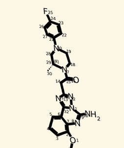 COc1cccc2c1nc(N)n1nc(CC(=O)N3CCN(c4ccc(F)cc4)C[C@H]3C)nc21